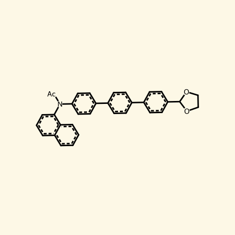 CC(=O)N(c1ccc(-c2ccc(-c3ccc(C4OCCO4)cc3)cc2)cc1)c1cccc2ccccc12